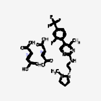 Cc1nc(NCC[C@@H]2CCCN2C)ncc1-c1ccc(C(F)(F)F)cc1F.O=C(O)/C=C/C(=O)O.O=C(O)/C=C/C(=O)O